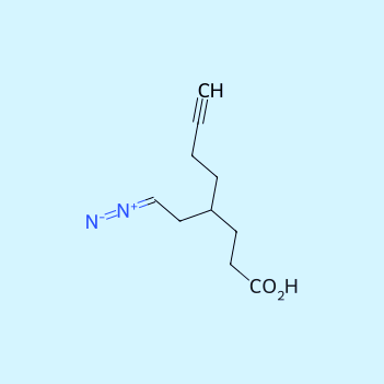 C#CCCC(CC=[N+]=[N-])CCC(=O)O